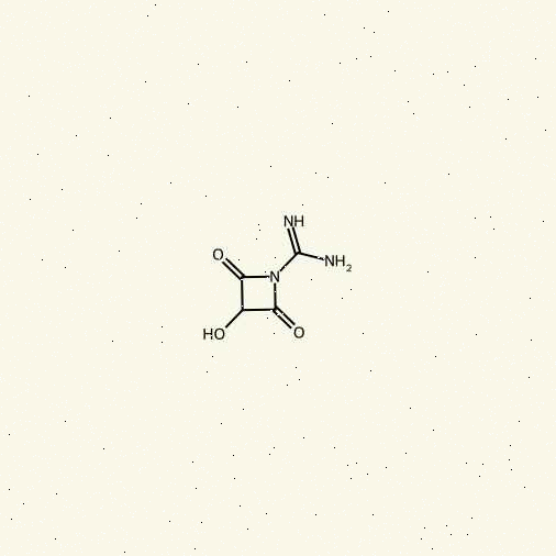 N=C(N)N1C(=O)C(O)C1=O